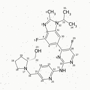 Cc1nc2c(F)cc(-c3nc(Nc4ccc(CN5CCC[C@@H]5CO)cn4)ncc3F)cc2n1C(C)C